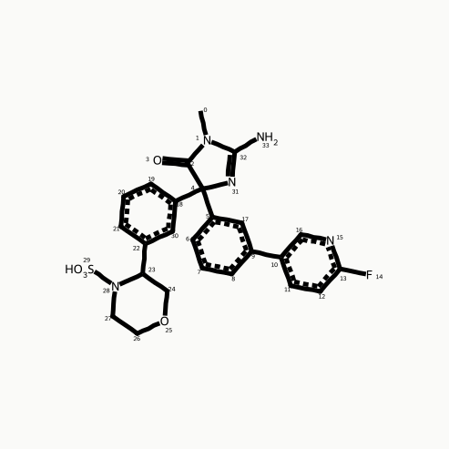 CN1C(=O)C(c2cccc(-c3ccc(F)nc3)c2)(c2cccc(C3COCCN3S(=O)(=O)O)c2)N=C1N